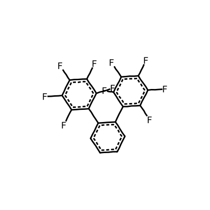 Fc1c(F)c(F)c(-c2ccccc2-c2c(F)c(F)c(F)c(F)c2F)c(F)c1F